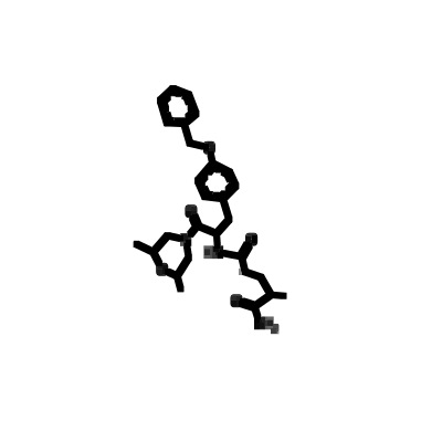 CC1CN(C(=O)C(Cc2ccc(OCc3ccccc3)cc2)NC(=O)[CH]CC(C)C(N)=O)CC(C)O1